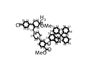 COC(=O)c1ccc(N2CCN(CC3=C(c4ccc(Cl)cc4)CCC(C)(OC)C3)CC2)cc1Oc1cccc2c1cnn2C(c1ccccc1)(c1ccccc1)c1ccccc1